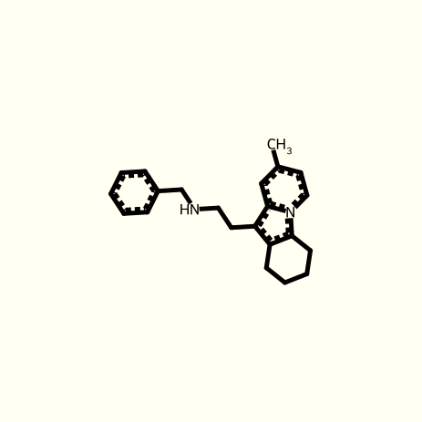 Cc1ccn2c3c(c(CCNCc4ccccc4)c2c1)CCCC3